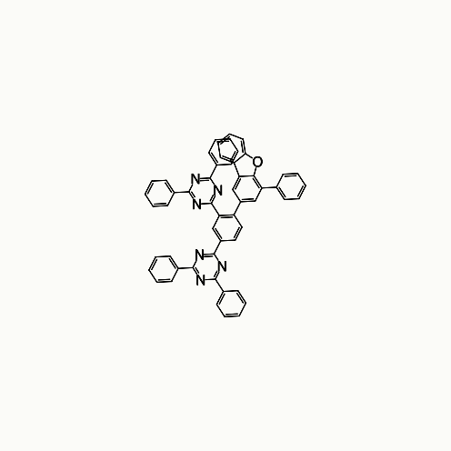 c1ccc(-c2nc(-c3ccccc3)nc(-c3ccc(-c4cc(-c5ccccc5)c5oc6ccccc6c5c4)c(-c4nc(-c5ccccc5)nc(-c5ccccc5)n4)c3)n2)cc1